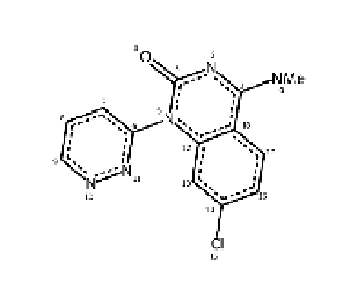 CNc1nc(=O)n(-c2cccnn2)c2cc(Cl)ccc12